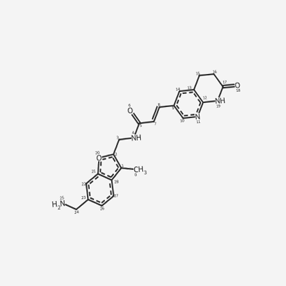 Cc1c(CNC(=O)/C=C/c2cnc3c(c2)CCC(=O)N3)oc2cc(CN)ccc12